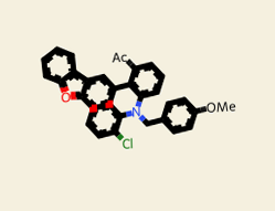 COc1ccc(CN(c2ccccc2Cl)c2cccc(C(C)=O)c2-c2ccc3oc4ccccc4c3c2)cc1